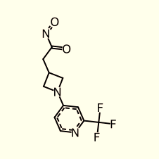 O=NC(=O)CC1CN(c2ccnc(C(F)(F)F)c2)C1